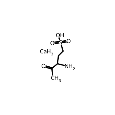 CC(=O)C(N)CCS(=O)(=O)O.[CaH2]